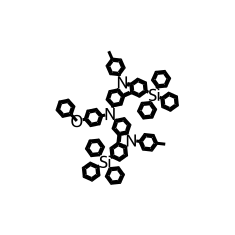 Cc1ccc(-n2c3ccc(N(c4ccc(Oc5ccccc5)cc4)c4ccc5c(c4)c4cc([Si](c6ccccc6)(c6ccccc6)c6ccccc6)ccc4n5-c4ccc(C)cc4)cc3c3cc([Si](c4ccccc4)(c4ccccc4)c4ccccc4)ccc32)cc1